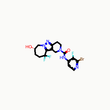 O=C(Nc1ccnc(Br)c1F)N1CCc2nn3c(c2C1)C(F)(F)CC[C@H](O)C3